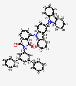 O=C1c2cccc(-n3c4ccccc4c4cc(-n5c6ccccc6c6ccccc65)ccc43)c2C(=O)N1c1cc(-c2ccccc2)cc(-c2ccccc2)c1